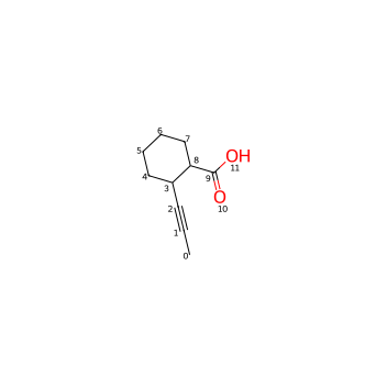 CC#CC1CCCCC1C(=O)O